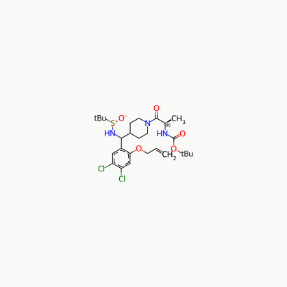 C=CCOc1cc(Cl)c(Cl)cc1C(N[S+]([O-])C(C)(C)C)C1CCN(C(=O)[C@@H](C)NC(=O)OC(C)(C)C)CC1